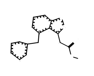 COC(=O)Cc1noc2cccc(Cc3ccccc3)c12